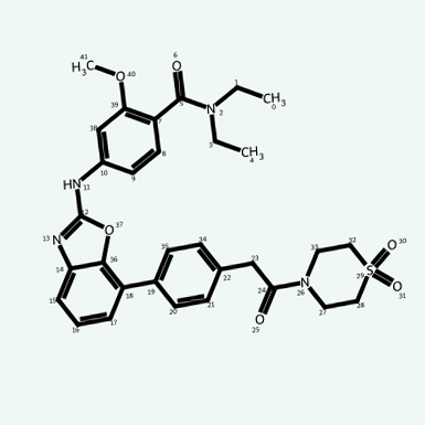 CCN(CC)C(=O)c1ccc(Nc2nc3cccc(-c4ccc(CC(=O)N5CCS(=O)(=O)CC5)cc4)c3o2)cc1OC